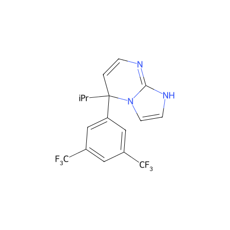 CC(C)C1(c2cc(C(F)(F)F)cc(C(F)(F)F)c2)C=CN=C2NC=CN21